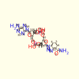 NC(=O)c1cccc2c1nnn2C1C[C@@H]2OP(O)OCC3OC(n4cnc5c(N)ncnc54)C[C@@H]3OP(=O)(O)OCC2O1